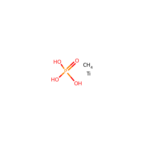 C.O=P(O)(O)O.[Ti]